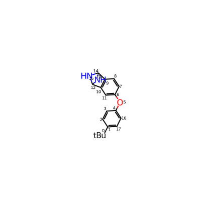 CC(C)(C)c1ccc(Oc2ccc3c(c2)C2NC3N2)cc1